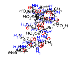 CC[C@H](C)[C@H](NC(=O)CNC(=O)[C@H](C)NC(=O)[C@H](CC(N)=O)NC(=O)[C@H](CC(C)C)NC(=O)[C@H](CCCCN)NC(=O)[C@H](CC(=O)O)NC(=O)[C@@H](N)CCSC)C(=O)N[C@@H](CC(=O)O)C(=O)N[C@@H](CCC(N)=O)C(=O)N[C@@H](CC(C)C)C(=O)N[C@H](C(=O)N[C@@H](C)C(=O)N[C@@H](CCC(=O)O)C(=O)NCC(=O)N[C@@H](C)C(=O)N[C@@H](CC(C)C)C(=O)NCC(=O)N[C@@H](CC(=O)O)C(=O)N[C@@H](CC(N)=O)C(=O)O)[C@@H](C)O